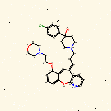 OC1(c2ccc(Cl)cc2)CCN(CCC=C2C=C3C(=CC=CC3OCCN3CCOCC3)Oc3ncccc32)CC1